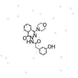 O=C(Cc1cccc(O)c1)Nn1nc(N2CCOCC2)c2ccccc2c1=O